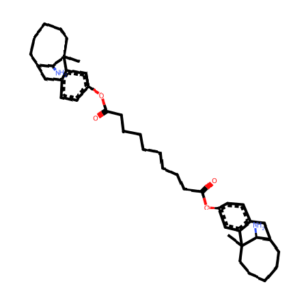 CC12CCCCCC(Cc3ccc(OC(=O)CCCCCCCCC(=O)Oc4ccc5c(c4)C4(C)CCCCCC(C5)C4N)cc31)C2N